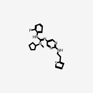 CN(/C(=N\c1cnc(NCCc2cccs2)nc1)Nc1ccccc1F)C1CCCC1